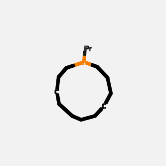 CC(C)P1CCCCCCCCCCC1